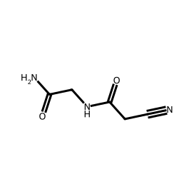 N#CCC(=O)NCC(N)=O